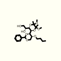 CCCCO[C@@H]1COC(c2ccccc2)O[C@H]1[C@@H]1OC(C)(OC)C(C)(OC)O[C@H]1[C@H](O)CO